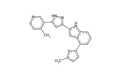 Cc1ccc(-c2cccc3[nH]c(-c4cc(-c5cnccc5C)[nH]n4)cc23)s1